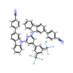 N#Cc1ccc(-c2ccc3c4ccccc4n(-c4cc(-c5cc(C(F)(F)F)cc(C(F)(F)F)c5)cc(-n5c6ccccc6c6ccc(-c7ccc(C#N)cc7)cc65)n4)c3c2)cc1